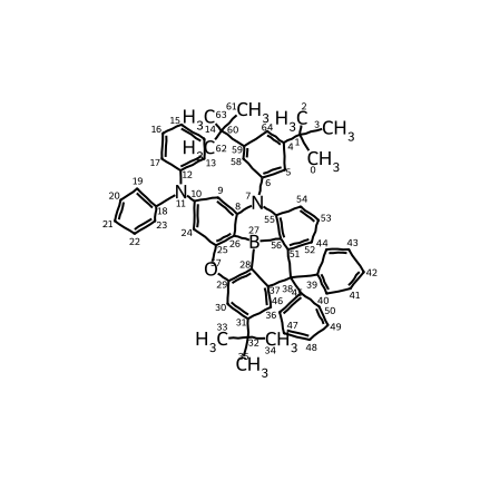 CC(C)(C)c1cc(N2c3cc(N(c4ccccc4)c4ccccc4)cc4c3B3c5c(cc(C(C)(C)C)cc5C(c5ccccc5)(c5ccccc5)c5cccc2c53)O4)cc(C(C)(C)C)c1